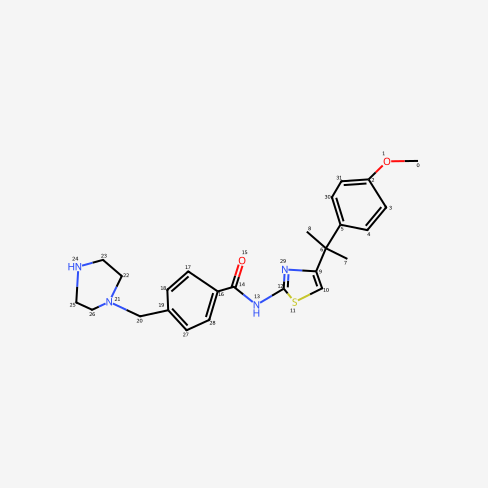 COc1ccc(C(C)(C)c2csc(NC(=O)c3ccc(CN4CCNCC4)cc3)n2)cc1